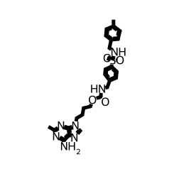 Cc1ccc(CNS(=O)(=O)c2ccc(CNC(=O)OCCCCn3cnc4c(N)nc(C)nc43)cc2)cc1